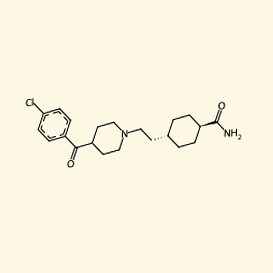 NC(=O)[C@H]1CC[C@H](CCN2CCC(C(=O)c3ccc(Cl)cc3)CC2)CC1